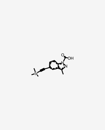 Cc1nn(C(=O)O)c2ccc(C#C[Si](C)(C)C)cc12